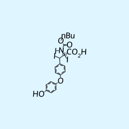 CCCCOC(=O)N(I)[C@](I)(C(=O)O)C(I)c1ccc(Oc2ccc(O)cc2)cc1